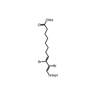 CCCCCCCC=C(Br)C(Br)=CCCCCCCC(=O)OC